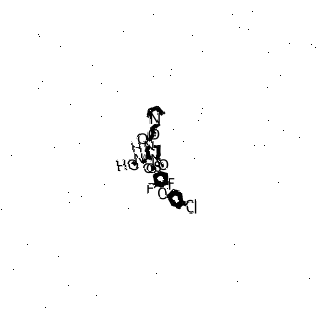 O=C(NO)[C@H]1CN(C(=O)OCCN2CCCC2)CCN1S(=O)(=O)c1cc(F)c(Oc2ccc(Cl)cc2)c(F)c1